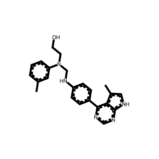 Cc1cccc(N(CCO)CNc2ccc(-c3ncnc4[nH]cc(C)c34)cc2)c1